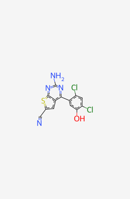 N#Cc1cc2c(-c3cc(O)c(Cl)cc3Cl)nc(N)nc2s1